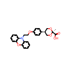 C[C@]1(C(=O)O)OC[C@@H](c2ccc(OCCN3c4ccccc4Oc4ccccc43)cc2)CO1